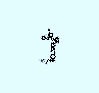 O=C(O)N[C@H]1CC[C@H](CN2CCC3(CCN(c4ncncc4Oc4ccc(F)cc4OC4CCCC4)C3)C2)CC1